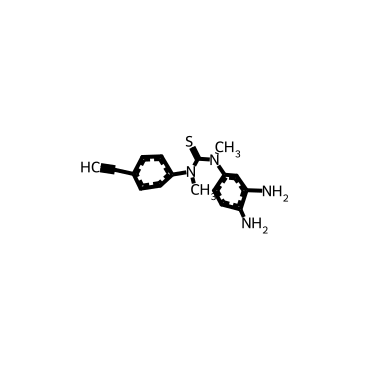 C#Cc1ccc(N(C)C(=S)N(C)c2ccc(N)c(N)c2)cc1